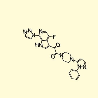 O=C(C(=O)N1CCN(c2ccnn2-c2ccccc2)CC1)c1c[nH]c2c(-n3ccnn3)ncc(F)c12